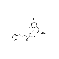 CC(=O)N[C@@H](Cc1cc(F)cc(F)c1)[C@@H](O)CC(C)NC(=O)CCCc1ccccc1